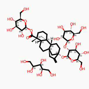 C=C1C[C@@]23CC[C@H]4[C@@](C)(CCC[C@@]4(C)C(=O)O[C@@H]4O[C@H](CO)[C@@H](O)[C@H](O)[C@H]4O)[C@@H]2CC[C@]1(O[C@@H]1O[C@H](CO)[C@@H](O)[C@H](O)[C@H]1O[C@@H]1O[C@H](CO)[C@@H](O)[C@H](O)[C@H]1O)C3.OC[C@@H](O)[C@H](O)[C@@H](O)CO